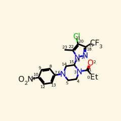 CCC(=O)N1CCN(c2ccc([N+](=O)[O-])cc2)CC1n1nc(C(F)(F)F)c(Cl)c1C